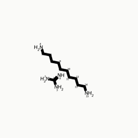 N=C(N)N.NCCCCCCCCCCN